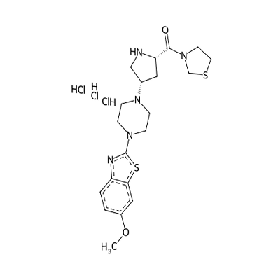 COc1ccc2nc(N3CCN([C@@H]4CN[C@H](C(=O)N5CCSC5)C4)CC3)sc2c1.Cl.Cl.Cl